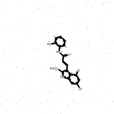 CCOC(=O)c1[nH]c2cc(Cl)cc(Cl)c2c1/C=C/C(=O)Nc1ccccc1O